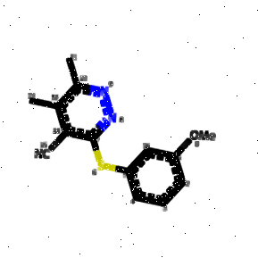 COc1cccc(Sc2nnc(C)c(C)c2C#N)c1